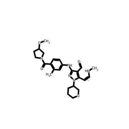 CN/C=C\c1c(C=O)c(Nc2ccc(C(=O)N3CCC(OC)C3)c(C)c2)nn1C1CCCOC1